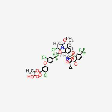 CCc1cccc(C)c1N(C(=O)CCl)C(C)COC.CS(=O)(=O)c1cc(C(F)(F)F)ccc1C(=O)c1cnoc1C1CC1.C[C@H](OC(=O)c1cc(Oc2ccc(C(F)(F)F)cc2Cl)ccc1Cl)C(=O)O